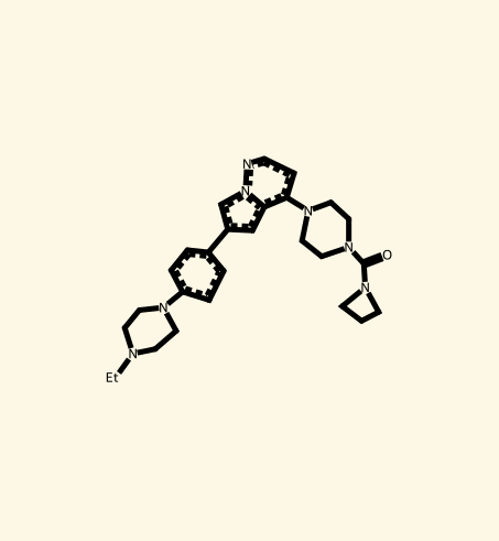 CCN1CCN(c2ccc(-c3cc4c(N5CCN(C(=O)N6CCC6)CC5)ccnn4c3)cc2)CC1